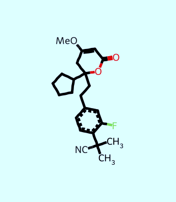 COC1=CC(=O)OC(CCc2ccc(C(C)(C)C#N)c(F)c2)(C2CCCC2)C1